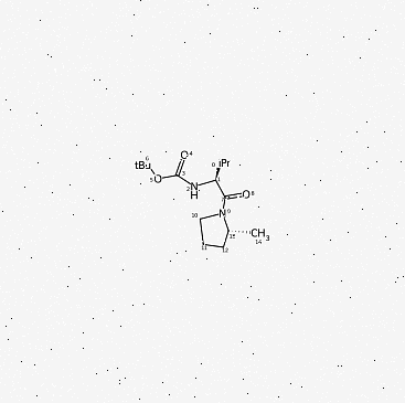 CC(C)[C@H](NC(=O)OC(C)(C)C)C(=O)N1CCC[C@H]1C